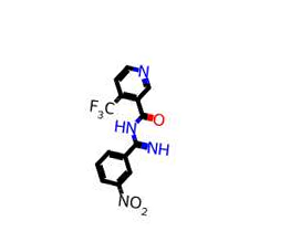 N=C(NC(=O)c1cnccc1C(F)(F)F)c1cccc([N+](=O)[O-])c1